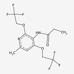 CCC(=O)Nc1c(OCC(F)(F)F)cc(C)nc1OCC(F)(F)F